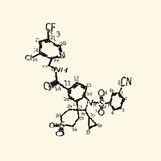 N#Cc1cccc(S(=O)(=O)N2c3ccc(C(=O)NCc4ncc(C(F)(F)F)cc4Cl)cc3C3(CCS(=O)(=O)CC3)C2C2CC2)c1